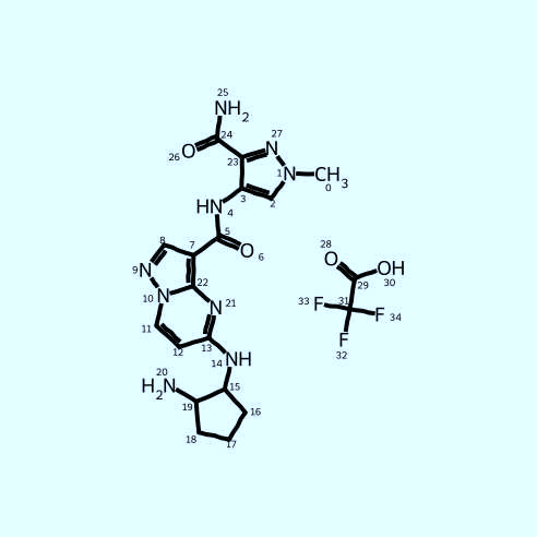 Cn1cc(NC(=O)c2cnn3ccc(NC4CCCC4N)nc23)c(C(N)=O)n1.O=C(O)C(F)(F)F